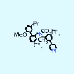 COc1ccc(C(C)C)cc1-c1ccc(C(F)(F)F)cc1CN(C(=O)O)C(C)c1cc(-c2ccncc2)cc(C(F)(F)F)c1